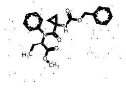 CC[C@H](C(=O)OC)N(C(=O)C1(NC(=O)OCc2ccccc2)CC1)c1ccccc1